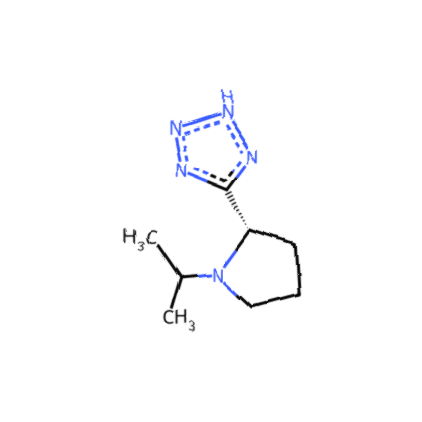 CC(C)N1CCC[C@H]1c1nn[nH]n1